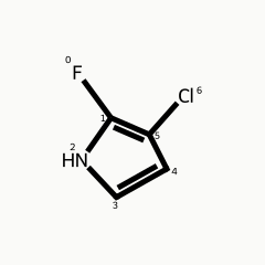 Fc1[nH]ccc1Cl